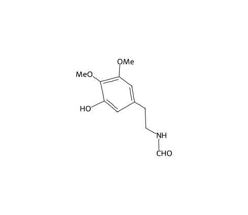 COc1cc(CCNC=O)cc(O)c1OC